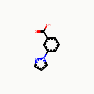 O=C(O)c1cccc(-n2cccn2)c1